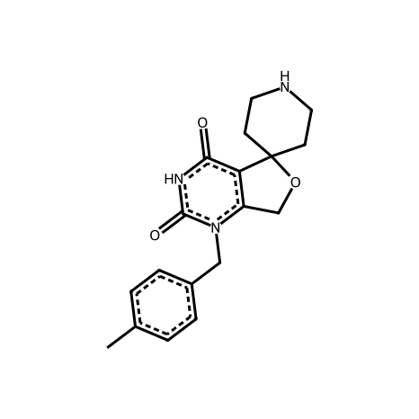 Cc1ccc(Cn2c3c(c(=O)[nH]c2=O)C2(CCNCC2)OC3)cc1